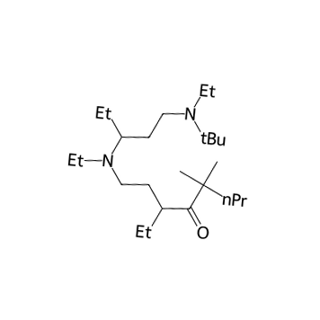 CCCC(C)(C)C(=O)C(CC)CCN(CC)C(CC)CCN(CC)C(C)(C)C